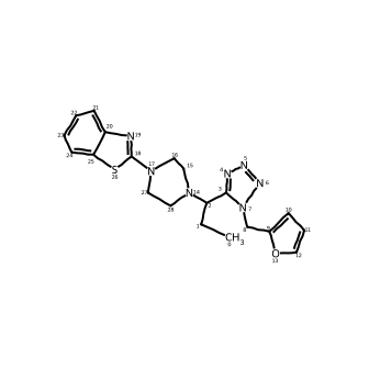 CCC(c1nnnn1Cc1ccco1)N1CCN(c2nc3ccccc3s2)CC1